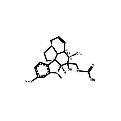 CC[C@]12C=CCN3CC[C@@]4(c5ccc(OC)cc5N(C)[C@H]4C(O)(CNC(=O)C(C)(C)C)[C@@H]1OC(C)=O)C32